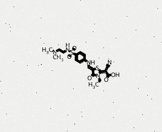 CCn1c(=C(C#N)C(=O)O)sc(=CNc2ccc(S(=O)(=O)NCCN(C)C)cc2)c1=O